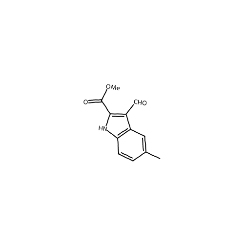 COC(=O)c1[nH]c2ccc(C)cc2c1C=O